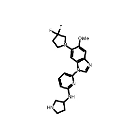 COc1cc2ncn(-c3cccc(NC4CCNC4)n3)c2cc1N1CCC(F)(F)C1